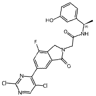 C[C@@H](NC(=O)CN1Cc2c(F)cc(-c3nc(Cl)ncc3Cl)cc2C1=O)c1cccc(O)c1